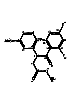 CSc1cccc(N(CC(=O)OC(C)(C)C)C(=O)c2c(F)cc(F)cc2F)c1